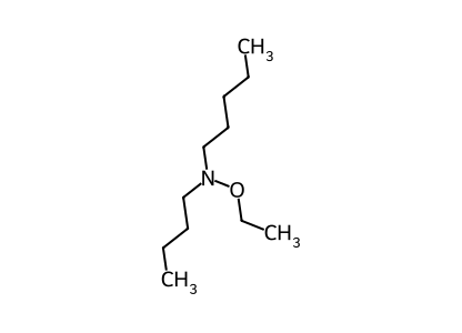 CCCCCN(CCCC)OCC